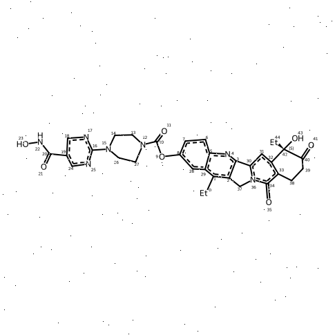 CCc1c2c(nc3ccc(OC(=O)N4CCN(c5ncc(C(=O)NO)cn5)CC4)cc13)-c1cc3c(c(=O)n1C2)CCC(=O)[C@]3(O)CC